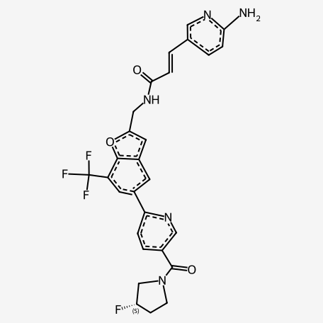 Nc1ccc(C=CC(=O)NCc2cc3cc(-c4ccc(C(=O)N5CC[C@H](F)C5)cn4)cc(C(F)(F)F)c3o2)cn1